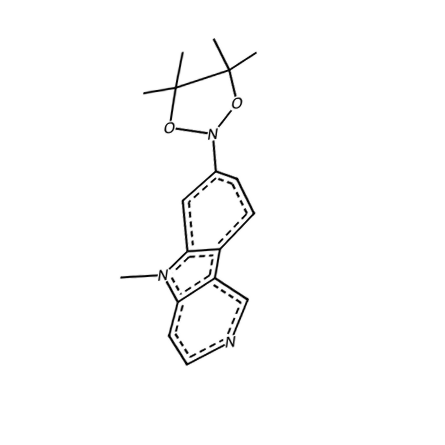 Cn1c2ccncc2c2ccc(N3OC(C)(C)C(C)(C)O3)cc21